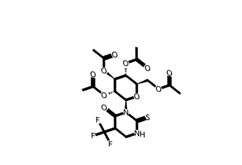 CC(=O)OC[C@H]1O[C@@H](N2C(=O)C(C(F)(F)F)CNC2=S)[C@H](OC(C)=O)[C@@H](OC(C)=O)[C@@H]1OC(C)=O